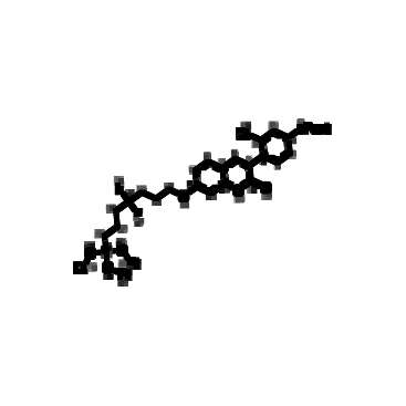 CCCCCc1ccc(-c2cc3ccc(OCCCC(F)(F)CCC[Si](OCC)(OCC)OCC)cc3oc2=O)c(CC)c1